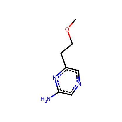 COCCc1cncc(N)n1